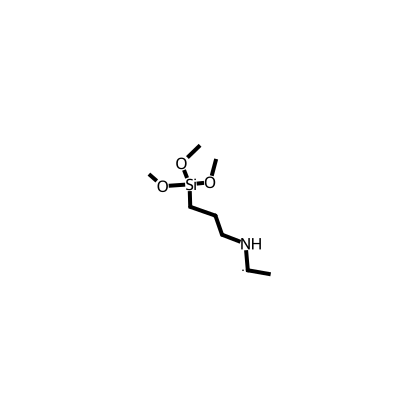 C[CH]NCCC[Si](OC)(OC)OC